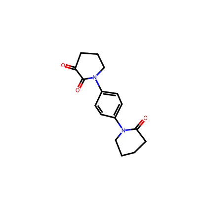 O=C1CCCN(c2ccc(N3CCCCC3=O)cc2)C1=O